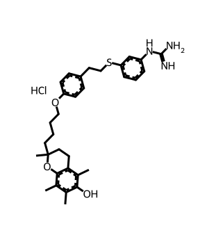 Cc1c(C)c2c(c(C)c1O)CCC(C)(CCCCOc1ccc(CCSc3cccc(NC(=N)N)c3)cc1)O2.Cl